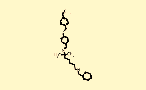 C=Cc1ccc(COc2ccc(/C=N/C(C)(C)CCCCC/N=C/c3ccccc3)cc2)cc1